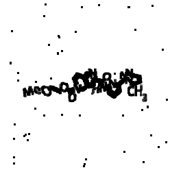 COCCOC(=O)N1CCc2cnc(C(=O)Nc3cccc(-c4nnc5n4[C@@H](C)CC5)n3)cc2C1